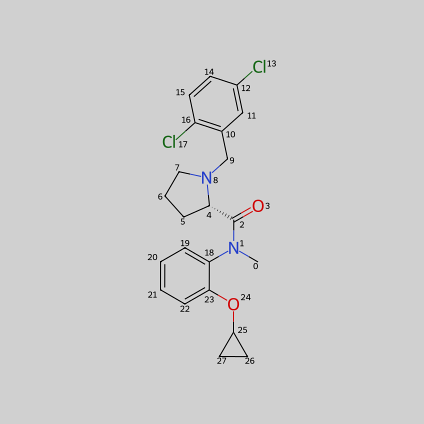 CN(C(=O)[C@@H]1CCCN1Cc1cc(Cl)ccc1Cl)c1ccccc1OC1CC1